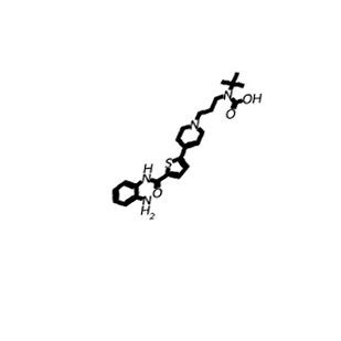 CC(C)(C)N(CCCN1CC=C(c2ccc(C(=O)Nc3ccccc3N)s2)CC1)C(=O)O